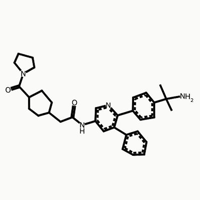 CC(C)(N)c1ccc(-c2ncc(NC(=O)CC3CCC(C(=O)N4CCCC4)CC3)cc2-c2ccccc2)cc1